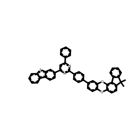 CC1(C)c2ccccc2-c2c1ccc1c2Oc2cc(-c3ccc(-c4nc(-c5ccccc5)cc(-c5ccc6c(c5)sc5ccccc56)n4)cc3)ccc2O1